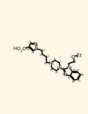 CCOCCn1c(N2CCN(CCCCn3cc(C(=O)O)cn3)CC2)nc2ccccc21